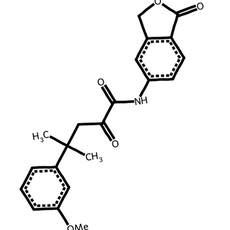 COc1cccc(C(C)(C)CC(=O)C(=O)Nc2ccc3c(c2)COC3=O)c1